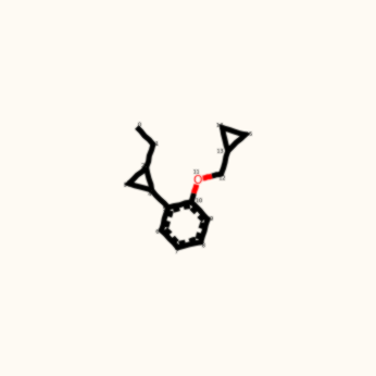 CCC1CC1c1ccccc1OCC1CC1